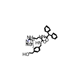 N/C(=N/[N+](=O)[O-])NCCC[C@@H](NC(=O)C(c1ccccc1)c1ccccc1)C(=O)NCc1ccc(CCO)cc1